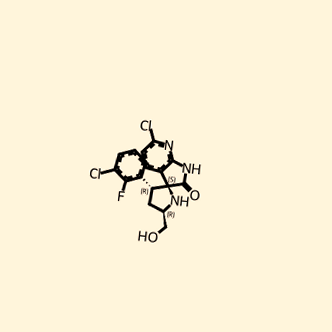 O=C1Nc2nc(Cl)ccc2[C@]12N[C@@H](CO)C[C@@H]2c1cccc(Cl)c1F